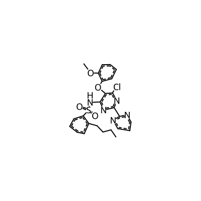 CCCCc1ccccc1S(=O)(=O)Nc1nc(-c2ncccn2)nc(Cl)c1Oc1ccccc1OC